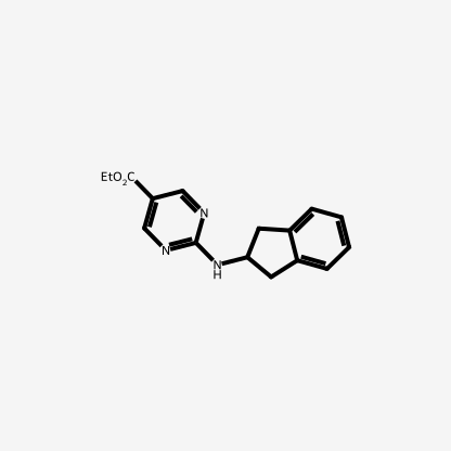 CCOC(=O)c1cnc(NC2Cc3ccccc3C2)nc1